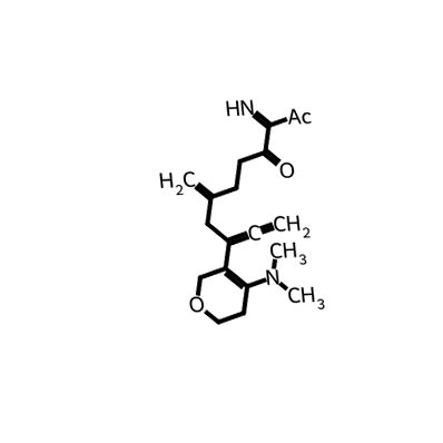 C=C=C(CC(=C)CCC(=O)C(=N)C(C)=O)C1=C(N(C)C)CCOC1